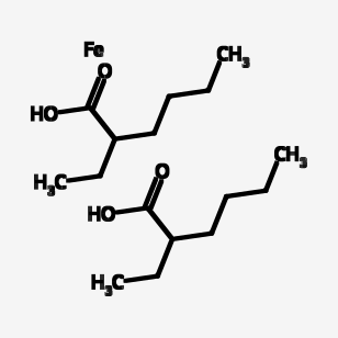 CCCCC(CC)C(=O)O.CCCCC(CC)C(=O)O.[Fe]